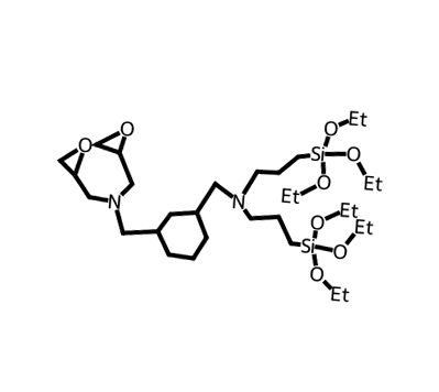 CCO[Si](CCCN(CCC[Si](OCC)(OCC)OCC)CC1CCCC(CN(CC2CO2)CC2CO2)C1)(OCC)OCC